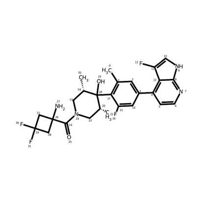 Cc1cc(-c2ccnc3[nH]cc(F)c23)cc(F)c1C1(O)[C@H](C)CN(C(=O)C2(N)CC(F)(F)C2)C[C@@H]1C